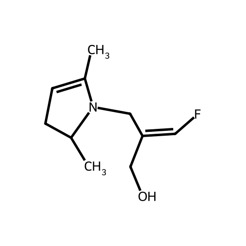 CC1=CCC(C)N1C/C(=C\F)CO